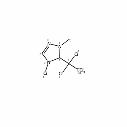 CN1N=CN(Cl)C1C(Cl)(Cl)C(Cl)(Cl)Cl